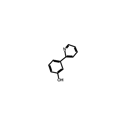 Oc1cccc(-c2ccccn2)c1